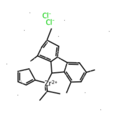 C[C](C)=[Zr+2]([C]1=CC=CC1)[CH]1c2c(C)cc(C)cc2-c2cc(C)cc(C)c21.[Cl-].[Cl-]